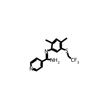 Cc1cc(C)c(SCC(F)(F)F)cc1/N=C(\N)c1ccncc1